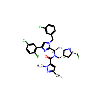 Cc1cc(C(=O)N(C[C@@H]2CN[C@H](CF)C2)[C@@H](c2nc(-c3cc(Cl)ccc3F)cn2Cc2cccc(F)c2)C(C)(C)C)n(C)n1